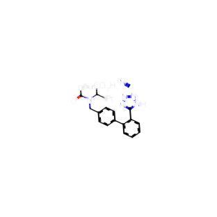 C#N.CCCCC(=O)N(Cc1ccc(-c2ccccc2-c2nnn[nH]2)cc1)C(C(=O)O)C(C)C